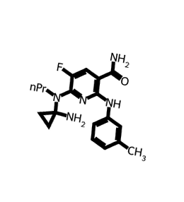 CCCN(c1nc(Nc2cccc(C)c2)c(C(N)=O)cc1F)C1(N)CC1